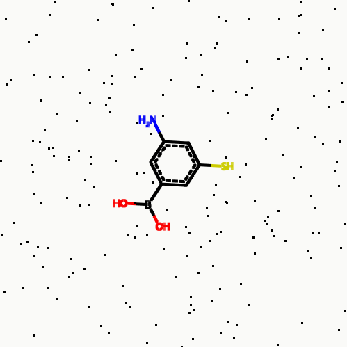 Nc1cc(S)cc(B(O)O)c1